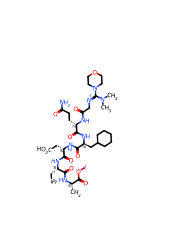 CC(C)C[C@H](NC(=O)[C@H](CC(=O)O)NC(=O)[C@H](CC1CCCCC1)NC(=O)[C@H](CCC(N)=O)NC(=O)C/N=C(\N(C)C)N1CCOCC1)C(=O)N[C@@H](C)C(=O)OI